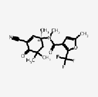 Cc1cc(C(=O)N(C)[C@]2(C)C=C(C#N)C(=O)C(C)(C)C2)c(C(F)(F)F)o1